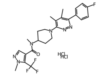 Cc1c(-c2ccc(F)cc2)nnc(N2CCC(N(C)C(=O)c3cnn(C)c3C(F)(F)F)CC2)c1C.Cl.Cl